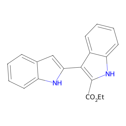 CCOC(=O)c1[nH]c2ccccc2c1-c1cc2ccccc2[nH]1